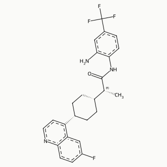 C[C@@H](C(=O)Nc1ccc(C(F)(F)F)cc1N)[C@H]1CC[C@@H](c2ccnc3ccc(F)cc32)CC1